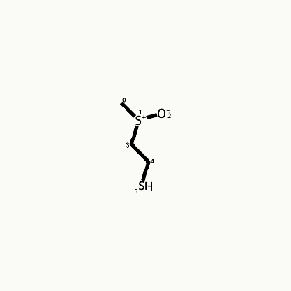 C[S+]([O-])CCS